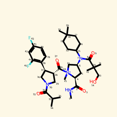 CNC(=O)[C@@H]1C[C@H](N(C(=O)C(C)(C)CO)C2CCC(C)(C)CC2)C[N+]1(C)C(=O)[C@@H]1CN(C(=O)C(C)C)C[C@H]1c1ccc(F)cc1F